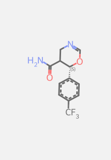 NC(=O)C1CN=CO[C@@H]1c1ccc(C(F)(F)F)cc1